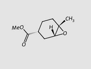 COC(=O)[C@@H]1CC[C@]2(C)O[C@@H]2C1